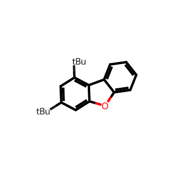 CC(C)(C)c1cc(C(C)(C)C)c2c(c1)oc1ccccc12